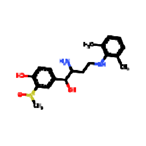 Cc1cccc(C)c1NCCC(N)C(O)c1ccc(O)c([S+](C)[O-])c1